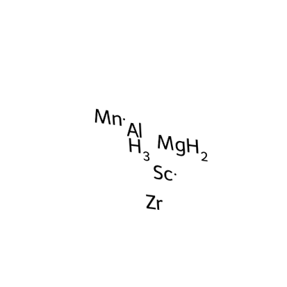 [AlH3].[MgH2].[Mn].[Sc].[Zr]